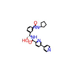 O=C(NC1CCCC1)c1cccc([C@@H](CO)NC(=O)c2ccc(-c3ccncc3)cn2)c1